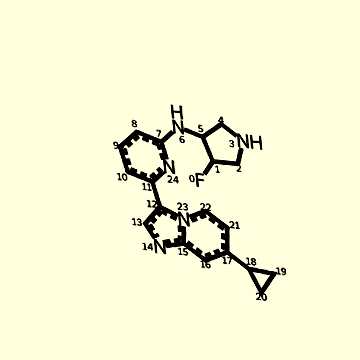 FC1CNCC1Nc1cccc(-c2cnc3cc(C4CC4)ccn23)n1